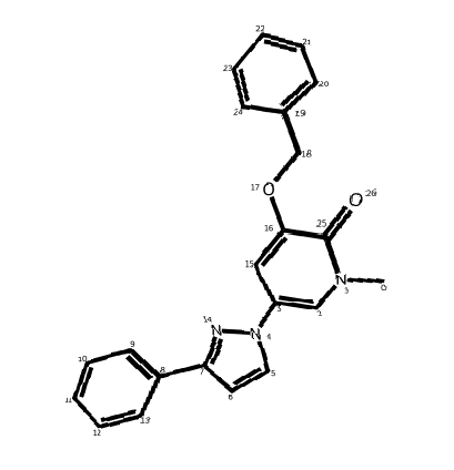 Cn1cc(-n2ccc(-c3ccccc3)n2)cc(OCc2ccccc2)c1=O